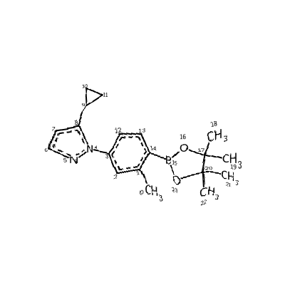 Cc1cc(-n2nccc2C2CC2)ccc1B1OC(C)(C)C(C)(C)O1